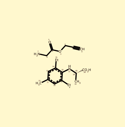 C#CCOC(=O)CN.CCc1cc(C)cc(CC)c1N[C@@H](C)C(=O)O